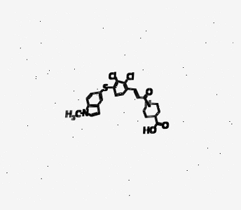 Cn1ccc2cc(Sc3ccc(C=CC(=O)N4CCC(C(=O)O)CC4)c(Cl)c3Cl)ccc21